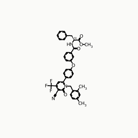 COC(=O)[C@H](Cc1ccccc1)NC(=O)c1cccc(Oc2ccc(-c3cc(C(F)(F)F)c(C#N)c(=O)n3Cc3ccc(C)cc3C)cc2)c1